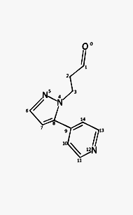 O=CCCn1nccc1-c1ccncc1